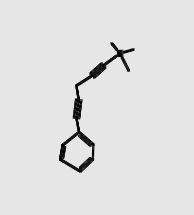 C[Si](C)(C)C#CCC#Cc1ccccc1